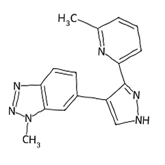 Cc1cccc(-c2n[nH]cc2-c2ccc3nnn(C)c3c2)n1